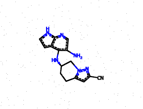 N#Cc1cc2n(n1)C[C@H](Nc1c(N)cnc3[nH]ccc13)CC2